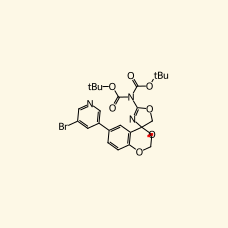 CC(C)(C)OC(=O)N(C(=O)OC(C)(C)C)C1=NC2(CO1)c1cc(-c3cncc(Br)c3)ccc1OCC21COC1